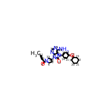 CC#CC(=O)N1CC[C@@H](n2c(=O)n(-c3ccc(OC4CCCCC4)cc3)c3c(N)ncnc32)C1